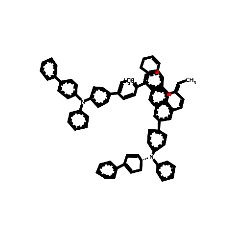 C=C(/C=C\C(=C/C)c1ccc(N(c2ccccc2)c2ccc(-c3ccccc3)cc2)cc1)N(C1=CC=CCC1)c1ccc(C/C=C\C(=C/C)N(c2ccccc2)c2ccc(-c3ccc(N(c4ccccc4)[C@H]4C=CC(c5ccccc5)=CC4)cc3)cc2)cc1